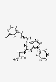 Cc1cccc(C=NNc2nc(N3CC(O)C3)nc3c2ncn3-c2cccnc2)c1